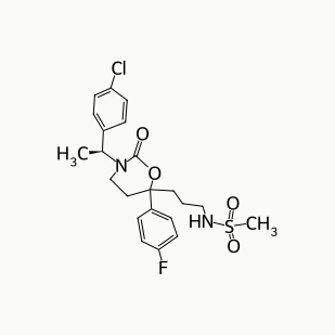 C[C@@H](c1ccc(Cl)cc1)N1CCC(CCCNS(C)(=O)=O)(c2ccc(F)cc2)OC1=O